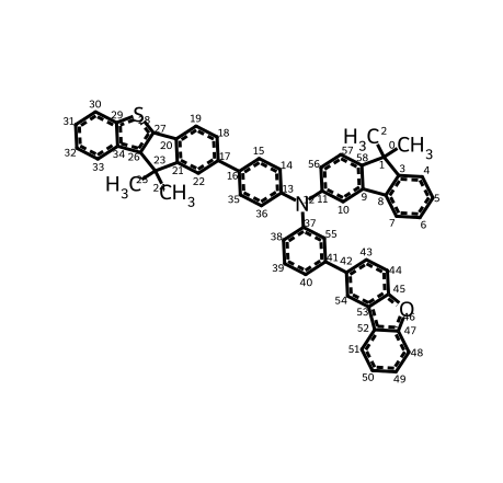 CC1(C)c2ccccc2-c2cc(N(c3ccc(-c4ccc5c(c4)C(C)(C)c4c-5sc5ccccc45)cc3)c3cccc(-c4ccc5oc6ccccc6c5c4)c3)ccc21